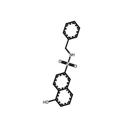 O=S(=O)(NCc1ccccc1)c1ccc2c(O)cccc2c1